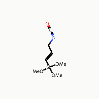 CO[Si](C=CCN=C=O)(OC)OC